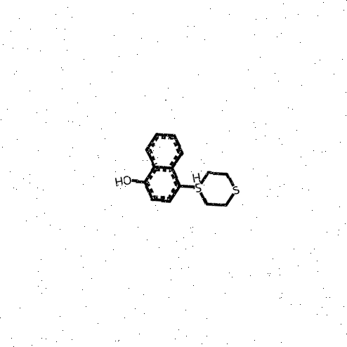 Oc1ccc([SH]2CCSCC2)c2ccccc12